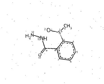 C[S+]([O-])c1ccccc1C(=O)NN